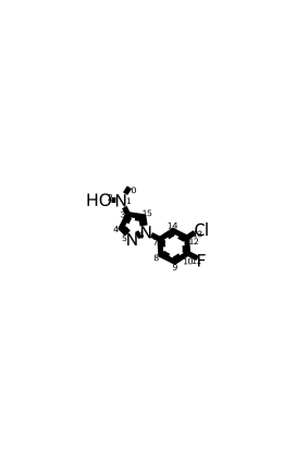 CN(O)c1cnn(-c2ccc(F)c(Cl)c2)c1